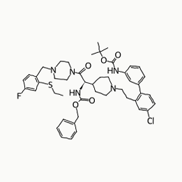 CCSc1cc(F)ccc1CN1CCN(C(=O)[C@H](NC(=O)OCc2ccccc2)C2CCN(CCc3cc(Cl)ccc3-c3cccc(NC(=O)OC(C)(C)C)c3)CC2)CC1